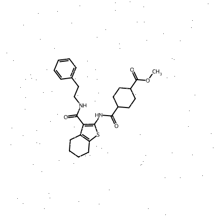 COC(=O)C1CCC(C(=O)Nc2sc3c(c2C(=O)NCCc2ccccc2)CCCC3)CC1